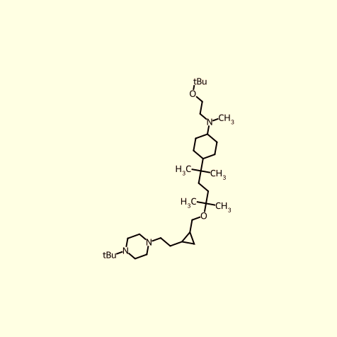 CN(CCOC(C)(C)C)C1CCC(C(C)(C)CCC(C)(C)OCC2CC2CCN2CCN(C(C)(C)C)CC2)CC1